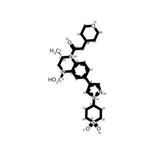 C[C@H]1CN(C(=O)O)c2cc(-c3cnn(C4CCS(=O)(=O)CC4)c3)ccc2N1C(=O)CC1CCOCC1